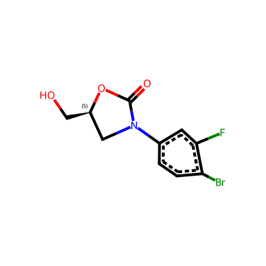 O=C1O[C@H](CO)CN1c1ccc(Br)c(F)c1